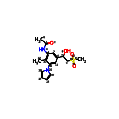 CC(=O)Nc1cc(C(O)CS(C)(=O)=O)cc(-n2cccc2)c1C